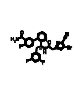 N#Cc1nn(CC(=O)N[C@@H](Cc2cc(F)cc(F)c2)c2ncccc2-c2ccc(F)c(C(N)=O)c2)cc1Br